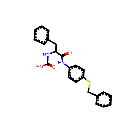 O=C(O)NC(Cc1ccccc1)C(=O)Nc1ccc(SCc2ccccc2)cc1